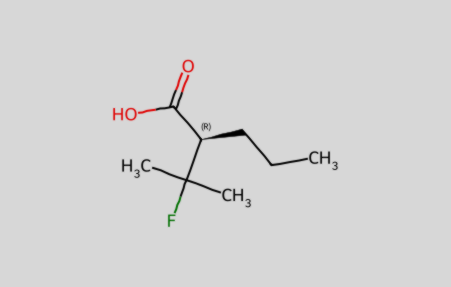 CCC[C@H](C(=O)O)C(C)(C)F